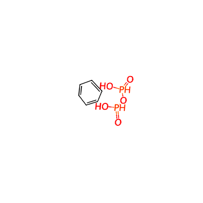 O=[PH](O)O[PH](=O)O.c1ccccc1